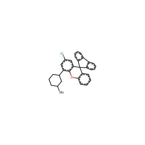 CC(C)(C)C1CCCC(c2cc(Cl)cc3c2Oc2ccccc2C32c3ccccc3-c3ccccc32)C1